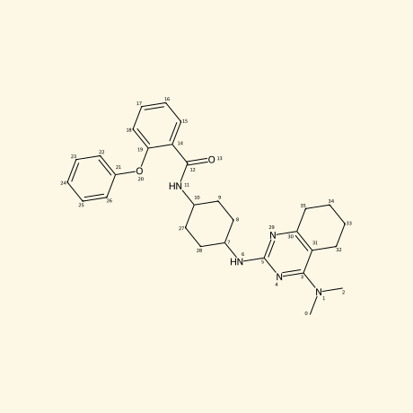 CN(C)c1nc(NC2CCC(NC(=O)c3ccccc3Oc3ccccc3)CC2)nc2c1CCCC2